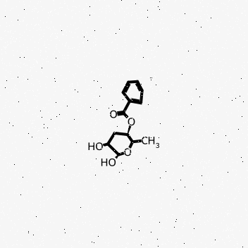 CC1O[C@@H](O)C(O)C[C@H]1OC(=O)c1ccccc1